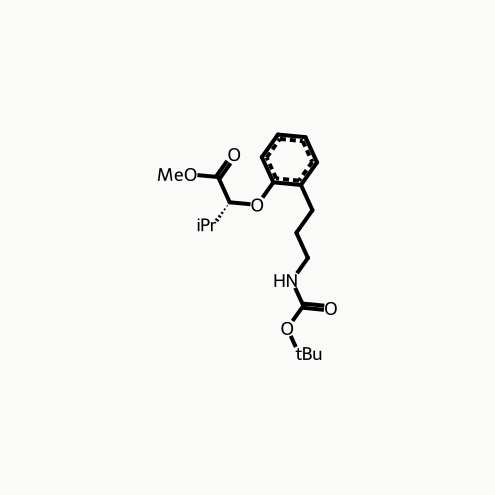 COC(=O)[C@H](Oc1ccccc1CCCNC(=O)OC(C)(C)C)C(C)C